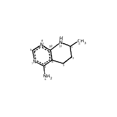 CC1CCc2c(N)ncnc2N1